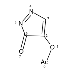 CC(=O)OC1=CN=NC1=O